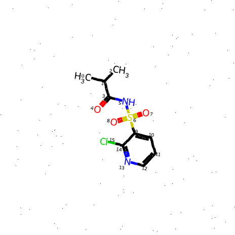 CC(C)C(=O)NS(=O)(=O)c1cccnc1Cl